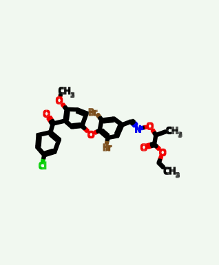 CCOC(=O)C(C)ON=Cc1cc(Br)c(Oc2ccc(OC)c(C(=O)c3ccc(Cl)cc3)c2)c(Br)c1